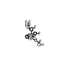 O=C(N[C@](Cc1ccccc1)(c1ccc(F)cc1)c1cc(F)cc(OC(F)(F)C(F)F)c1)N[C@H]1C[C@H]([C@@H](O)F)C1